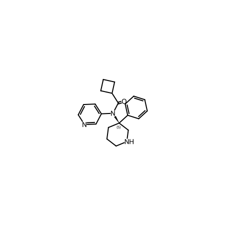 O=C(C1CCC1)N(c1cccnc1)[C@]1(c2ccccc2)CCCNC1